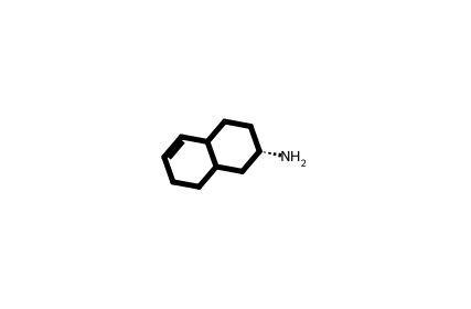 N[C@H]1CCC2C=CCCC2C1